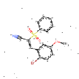 COc1ccc(Br)c(C=C(C#N)S(=O)(=O)c2ccccc2)c1